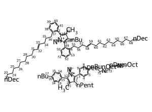 CCCCCC1=C(c2ccc(CCCC)cc2)[N+](=[N-])C(c2ccc(CCCC)cc2)=C1C.CCCCCCCCCCCCCCCCCCCC=CCCCc1ccccc1C1=C(C)C(CCCC)=C(c2ccccc2CCCC=CCCCCCCCCCCCCCCCCCCC)[N+]1=[N-].CCCCCCCCCC[CH2][Ni][CH2]CCCCCCCCCC.CCCCCCC[CH2][Ni][CH2]CCCCCCC